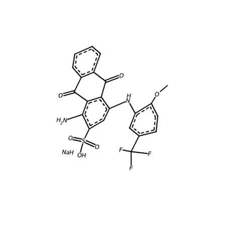 COc1ccc(C(F)(F)F)cc1Nc1cc(S(=O)(=O)O)c(N)c2c1C(=O)c1ccccc1C2=O.[NaH]